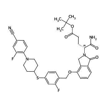 CC(C)(C)OC(=O)CC[C@H](C(N)=O)N1Cc2c(OCc3ccc(SC4CCN(c5ccc(C#N)cc5F)CC4)cc3F)cccc2C1=O